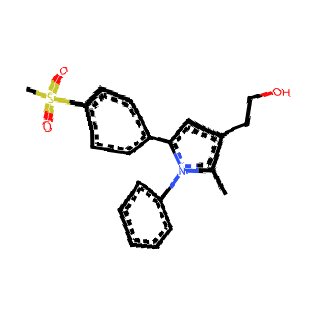 Cc1c(CCO)cc(-c2ccc(S(C)(=O)=O)cc2)n1-c1ccccc1